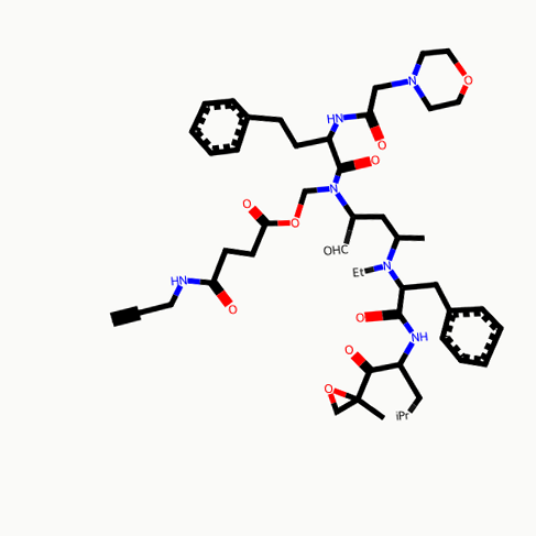 C#CCNC(=O)CCC(=O)OCN(C(=O)C(CCc1ccccc1)NC(=O)CN1CCOCC1)C(C=O)CC(C)N(CC)C(Cc1ccccc1)C(=O)NC(CC(C)C)C(=O)C1(C)CO1